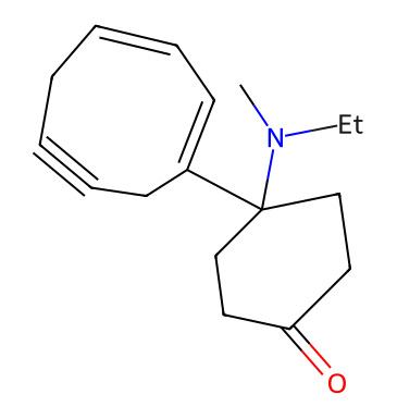 CCN(C)C1(/C2=C/C=C\CC#CC2)CCC(=O)CC1